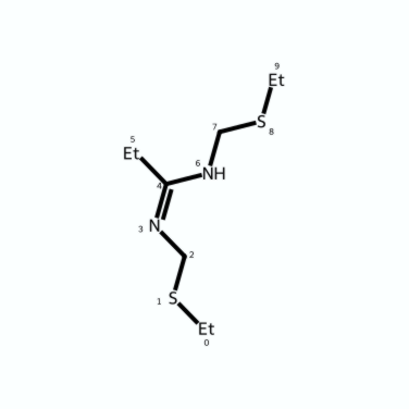 CCSCN=C(CC)NCSCC